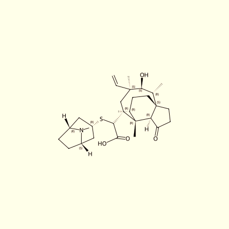 C=C[C@]1(C)C[C@@H](C(S[C@H]2C[C@H]3CC[C@@H](C2)N3C)C(=O)O)[C@]2(C)[C@H](C)CC[C@]3(CCC(=O)[C@H]32)[C@@H](C)[C@@H]1O